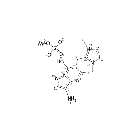 COS(=O)(=O)[O-].Cc1nc2c(N)cnn2c(O)c1Cc1n(C)cc[n+]1C